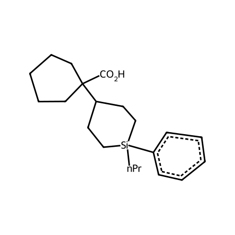 CCC[Si]1(c2ccccc2)CCC(C2(C(=O)O)CCCCC2)CC1